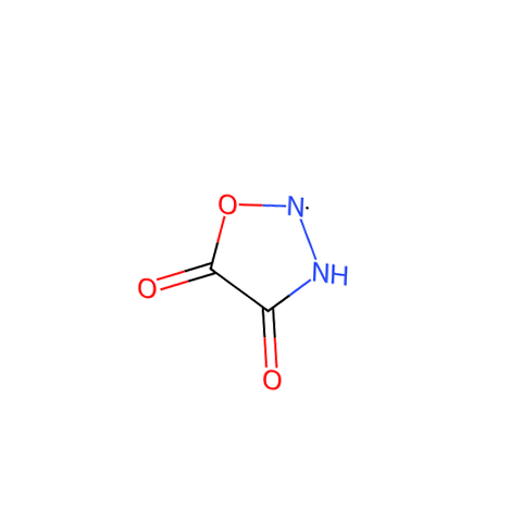 O=C1N[N]OC1=O